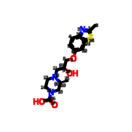 Cc1nc2ccc(OC[C@@H](O)CN3CCN(C(=O)O)C[C@@H]3C)cc2s1